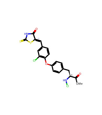 COC(=O)[C@H](Cc1ccc(Oc2ccc(/C=C3\SC(=S)NC3=O)cc2Cl)cc1)NCl